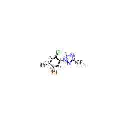 CC(C)c1cc(Cl)c(-n2cnc(C(F)(F)F)n2)cc1S